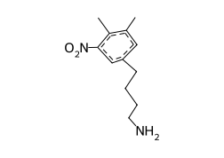 Cc1cc(CCCCN)cc([N+](=O)[O-])c1C